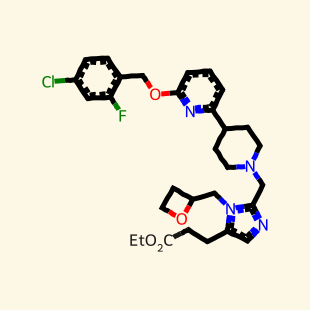 CCOC(=O)CCc1cnc(CN2CCC(c3cccc(OCc4ccc(Cl)cc4F)n3)CC2)n1CC1CCO1